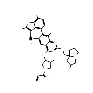 C=CC(=O)N1CC(F)C(Oc2nc(OCC34CCCN3CC(F)C4)nc3c(F)c(-c4ccc(F)c5sc(N)c(C#N)c45)c(Cl)cc23)C1